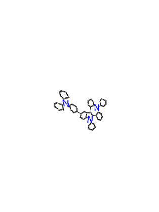 c1ccc(N(c2ccccc2)c2ccc(-c3ccc4c(c3)c3c(n4-c4ccccc4)-c4ccccc4N(c4ccccc4)c4ccccc4-3)cc2)cc1